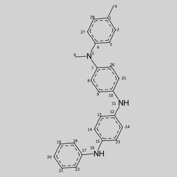 Cc1ccc(N(C)c2ccc(Nc3ccc(Nc4ccccc4)cc3)cc2)cc1